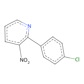 O=[N+]([O-])c1cccnc1-c1ccc(Cl)cc1